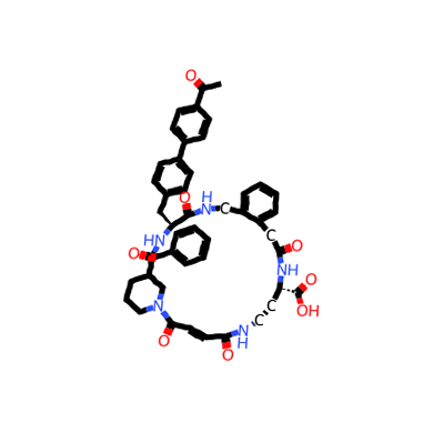 CC(=O)c1ccc(-c2ccc(C[C@@H]3NC(=O)[C@]4(Cc5ccccc5)CCCN(C4)C(=O)/C=C/C(=O)NCC[C@@H](C(=O)O)NC(=O)Cc4ccccc4CNC3=O)cc2)cc1